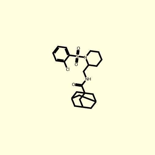 O=C(NCC1CCCCN1S(=O)(=O)c1ccccc1Cl)C12CC3CC(CC(C3)C1)C2